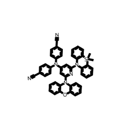 C[Si]1(C)c2ccccc2N(c2cc(N(c3ccc(C#N)cc3)c3ccc(C#N)cc3)cc(N3c4ccccc4Oc4ccccc43)n2)c2ccccc21